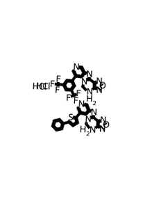 CCn1c(-c2nonc2N)nc2cncc(-c3cc(C(F)(F)F)cc(C(F)(F)F)c3)c21.CCn1c(-c2nonc2N)nc2cncc(-c3ccc(-c4ccccc4)s3)c21.Cl.Cl